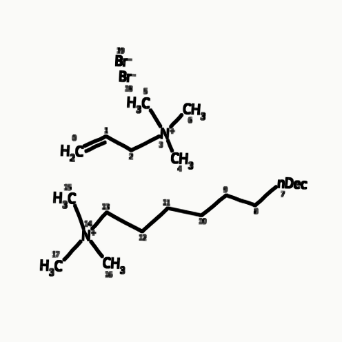 C=CC[N+](C)(C)C.CCCCCCCCCCCCCCCC[N+](C)(C)C.[Br-].[Br-]